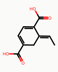 CC=C1CC(C(=O)O)=CC=C1C(=O)O